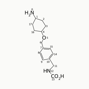 NC1CCC(OCc2ccc(CNC(=O)O)cc2)CC1